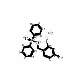 O=P(OCc1ccc(F)cc1F)(c1ccccc1)c1ccccc1.[Ir]